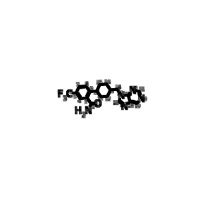 NC(=O)c1cc(C(F)(F)F)ccc1C1CCC(Cn2cnc3cncnc32)CC1